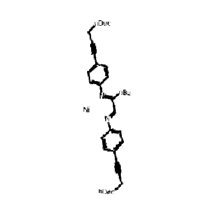 CCCCCCCCCCCC#Cc1ccc(N=CC(CCCC)=Nc2ccc(C#CCCCCCCCCCCC)cc2)cc1.[Ni]